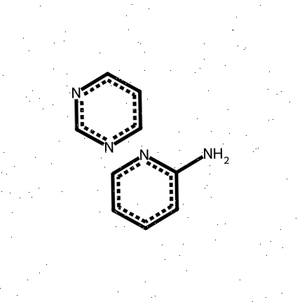 Nc1ccccn1.c1cncnc1